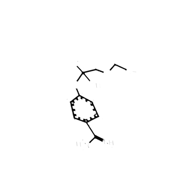 CCOCC(C)(C)Oc1ccc(C(=N)N)cc1